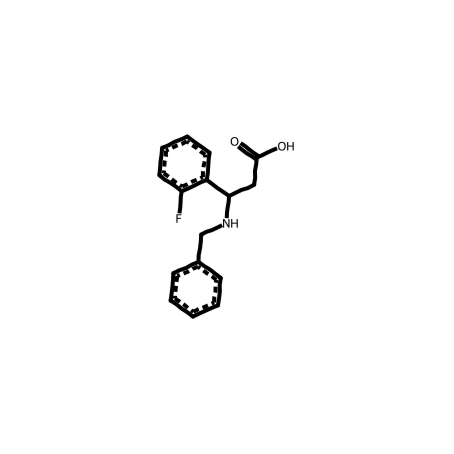 O=C(O)CC(NCc1ccccc1)c1ccccc1F